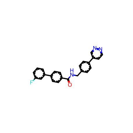 O=C(NCc1ccc(-c2ccnnc2)cc1)c1ccc(-c2cccc(F)c2)cc1